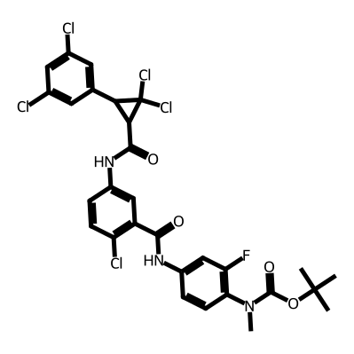 CN(C(=O)OC(C)(C)C)c1ccc(NC(=O)c2cc(NC(=O)C3C(c4cc(Cl)cc(Cl)c4)C3(Cl)Cl)ccc2Cl)cc1F